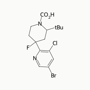 CC(C)(C)C1CC(F)(c2ncc(Br)cc2Cl)CCN1C(=O)O